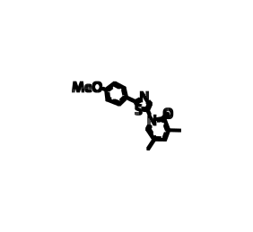 COc1ccc(-c2ncc(-n3cc(C)cc(C)c3=O)s2)cc1